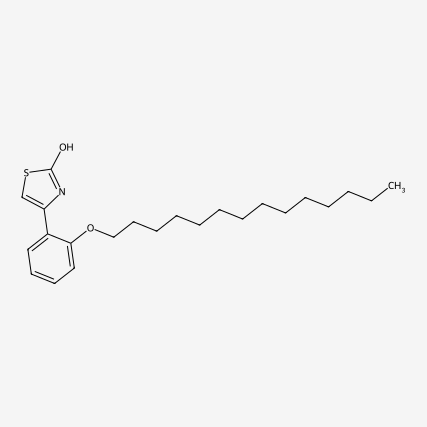 CCCCCCCCCCCCCCOc1ccccc1-c1csc(O)n1